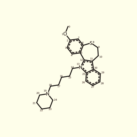 COc1ccc2c(c1)SCCc1c-2n(CCCCCN2CCCCC2)c2ccccc12